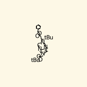 CC(C)(C)C[C@@H](CCC(=O)OCc1ccccc1)N1CCCN2CCN(CCCN(CC(=O)OC(C)(C)C)CC2)CC1